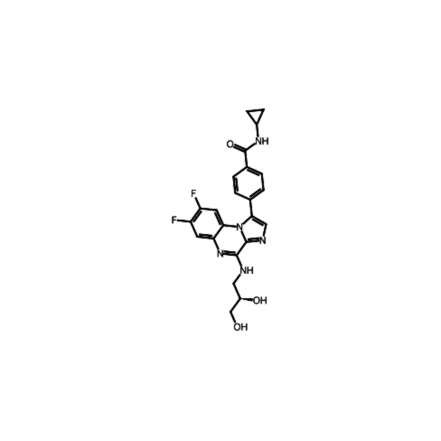 O=C(NC1CC1)c1ccc(-c2cnc3c(NC[C@@H](O)CO)nc4cc(F)c(F)cc4n23)cc1